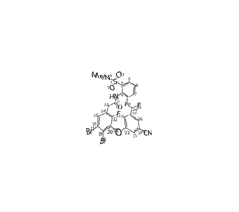 CNS(=O)(=O)c1ccccc1NC(=O)Cc1cc(Br)c(Br)c(Oc2cc(C#N)cc(C(F)F)c2)c1F